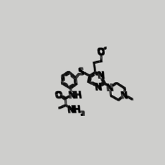 COCCc1nc(N2CCN(C)CC2)ncc1Sc1cccc(NC(=O)C(C)N)c1